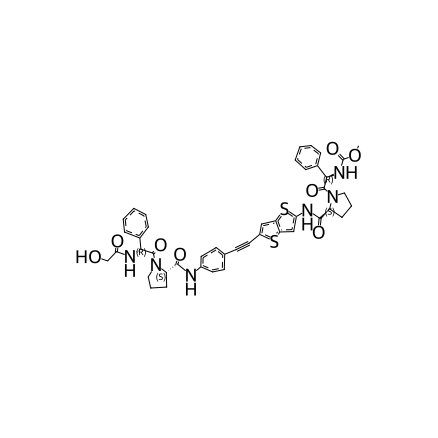 COC(=O)N[C@@H](C(=O)N1CCC[C@H]1C(=O)Nc1cc2sc(C#Cc3ccc(NC(=O)[C@@H]4CCCN4C(=O)[C@H](NC(=O)CO)c4ccccc4)cc3)cc2s1)c1ccccc1